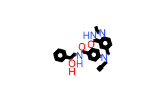 C#CCN(Cc1ccc2nc(C)[nH]c(=O)c2c1)c1ccc(C(=O)NCC(O)c2ccccc2)cc1